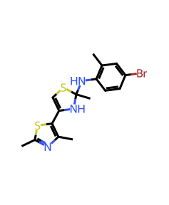 Cc1nc(C)c(C2=CSC(C)(Nc3ccc(Br)cc3C)N2)s1